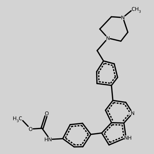 COC(=O)Nc1ccc(-c2c[nH]c3ncc(-c4ccc(CN5CCN(C)CC5)cc4)cc23)cc1